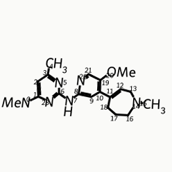 CNc1cc(C)nc(Nc2cc(C3=CCN(C)CCC3)c(OC)cn2)n1